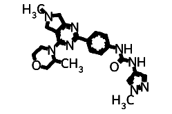 CC1COCCN1c1nc(-c2ccc(NC(=O)Nc3cnn(C)c3)cc2)nc2c1CN(C)C2